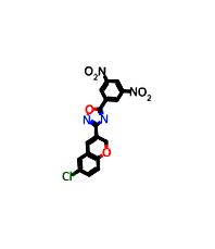 O=[N+]([O-])c1cc(-c2nc(C3=Cc4cc(Cl)ccc4OC3)no2)cc([N+](=O)[O-])c1